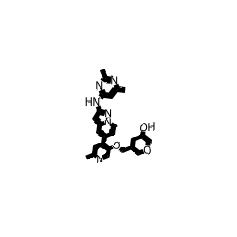 Cc1cc(-c2ccn3nc(Nc4cc(C)nc(C)n4)cc3c2)c(OCC2COCC(O)C2)cn1